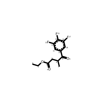 CCOC(=O)CC(C)C(=O)c1cc(F)c(F)c(F)c1